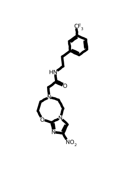 O=C(CN1CCOc2nc([N+](=O)[O-])cn2CC1)NCCc1cccc(C(F)(F)F)c1